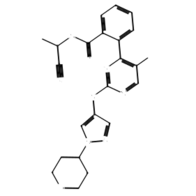 CC(C#N)NC(=O)c1ccccc1-c1nc(Nc2cnn(C3CCOCC3)c2)ncc1Cl